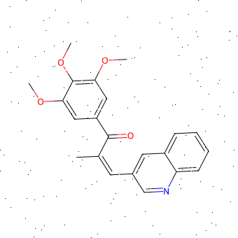 COc1cc(C(=O)C(C)=Cc2cnc3ccccc3c2)cc(OC)c1OC